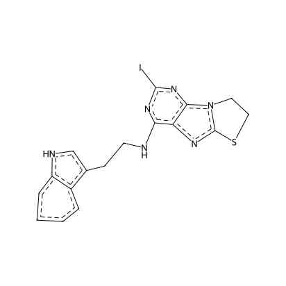 Ic1nc(NCCc2c[nH]c3ccccc23)c2nc3n(c2n1)CCS3